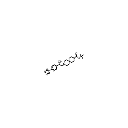 CC(C)(C)OC(=O)N1CCC2(CCN(CC(O)c3ccc(-n4cnnn4)nc3)CC2)CC1